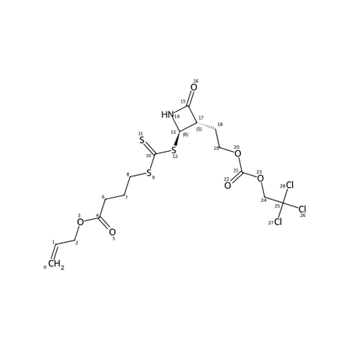 C=CCOC(=O)CCCSC(=S)S[C@H]1NC(=O)[C@@H]1CCOC(=O)OCC(Cl)(Cl)Cl